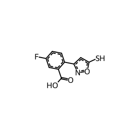 O=C(O)c1cc(F)ccc1-c1cc(S)on1